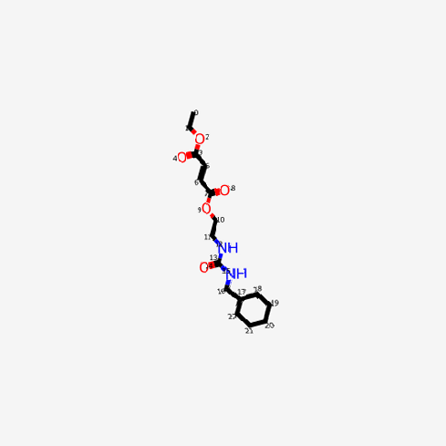 CCOC(=O)/C=C/C(=O)OCCNC(=O)NCC1CCCCC1